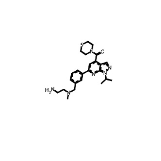 CC(C)n1ncc2c(C(=O)N3CCSCC3)cc(-c3cccc(CN(C)CCN)c3)nc21